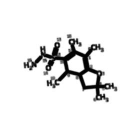 CC1=C2OC(C)(C)CC2C(C)C(S(=O)(=O)NN)=C1C